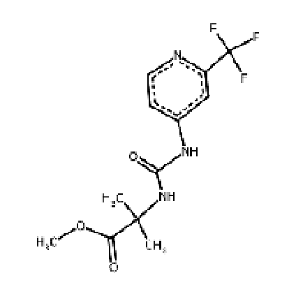 COC(=O)C(C)(C)NC(=O)Nc1ccnc(C(F)(F)F)c1